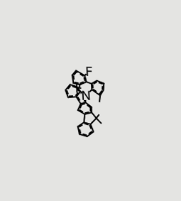 Cc1cccc(-c2c(F)cccc2F)c1-n1c2ccccc2c2cc3c(cc21)C(C)(C)c1ccccc1-3